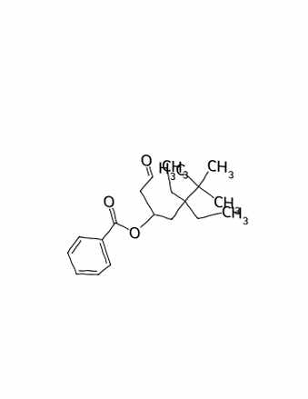 CCC(CC)(CC(CC=O)OC(=O)c1ccccc1)C(C)(C)C